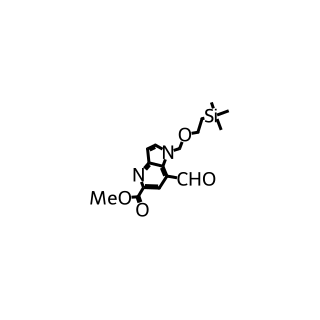 COC(=O)c1cc(C=O)c2c(ccn2COCC[Si](C)(C)C)n1